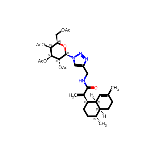 C=C(C(=O)NCc1cn([C@@H]2O[C@H](COC(C)=O)[C@H](OC(C)=O)[C@H](OC(C)=O)[C@H]2OC(C)=O)nn1)[C@@H]1CC[C@@H](C)[C@@H]2CCC(C)=C[C@@H]21